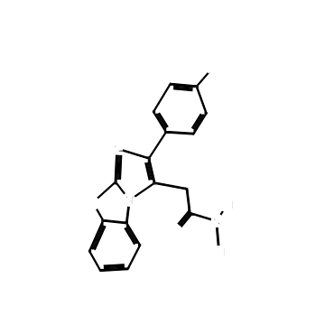 CN(C)C(=O)Cc1c(-c2ccc(F)cc2)nc2sc3ccccc3n12